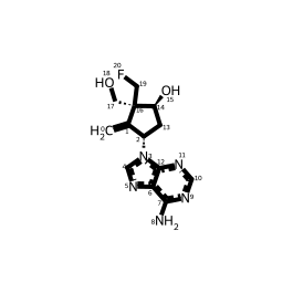 C=C1[C@@H](n2cnc3c(N)ncnc32)C[C@H](O)[C@]1(CO)CF